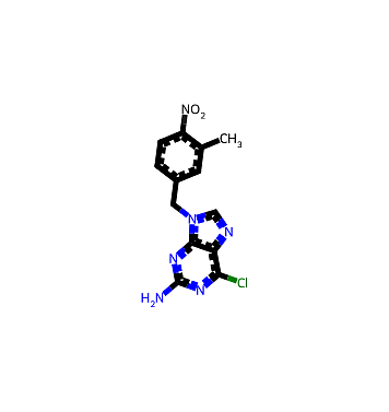 Cc1cc(Cn2cnc3c(Cl)nc(N)nc32)ccc1[N+](=O)[O-]